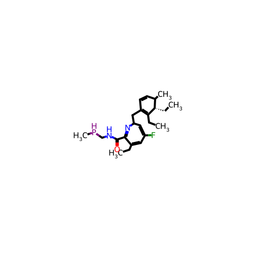 CCC1=CC(F)=CC(CC2=C(CC)[C@@H](CC)C(C)C=C2)N=C1C(=O)NCPC